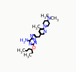 CCCC(CC)Oc1nc(N)c2ncc(Cc3cnc(N4CCC(N(C)C)CC4)c(C)c3)n2n1